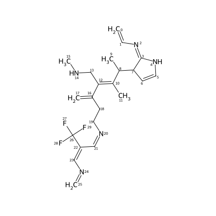 C=C/N=C1/NC=CC1C(C)/C(C)=C(\CNC)C(=C)CC/N=C\C(=C/N=C)C(F)(F)F